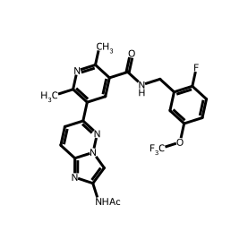 CC(=O)Nc1cn2nc(-c3cc(C(=O)NCc4cc(OC(F)(F)F)ccc4F)c(C)nc3C)ccc2n1